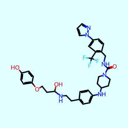 O=C(NCc1ccc(-n2cccn2)cc1C(F)(F)F)N1CCC(Nc2ccc(CCNC(O)CCOc3ccc(O)cc3)cc2)CC1